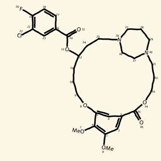 COc1cc2cc(c1OC)OCCCC(OC(=O)c1ccc(F)c(Cl)c1)CCN1CCCN(CCCOC2=O)CC1